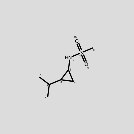 CC(C)C1CC1NS(C)(=O)=O